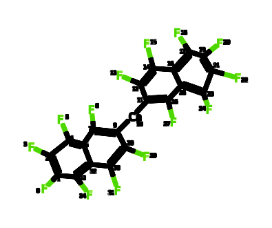 Fc1c(F)c(F)c2c(F)[c]([Ca][c]3c(F)c(F)c4c(F)c(F)c(F)c(F)c4c3F)c(F)c(F)c2c1F